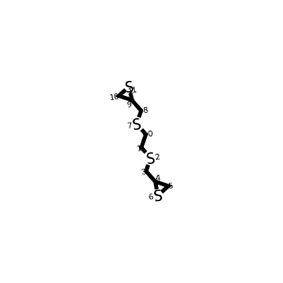 C(CSCC1CS1)SCC1CS1